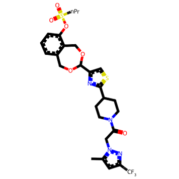 CCCS(=O)(=O)Oc1cccc2c1COC(c1csc(C3CCN(C(=O)Cn4nc(C(F)(F)F)cc4C)CC3)n1)OC2